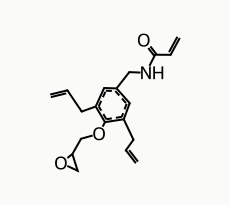 C=CCc1cc(CNC(=O)C=C)cc(CC=C)c1OCC1CO1